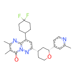 Cc1cc([C@H]2C[C@@H](c3cc(C4CCC(F)(F)CC4)c4nc(C)c(C)c(=O)n4n3)CCO2)ccn1